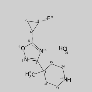 CC1(c2noc([C@@H]3C[C@@H]3F)n2)CCNCC1.Cl